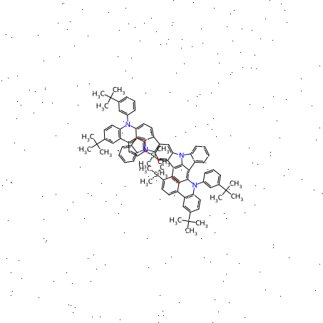 CC(C)(C)c1cccc(N(c2ccc(C(C)(C)C)cc2-c2ccc([Si](C)(C)C)cc2)c2ccc3c4cc5c(cc4n4c6ccccc6c2c34)c2ccc(N(c3cccc(C(C)(C)C)c3)c3ccc(C(C)(C)C)cc3-c3ccc([Si](C)(C)C)cc3)c3c4ccccc4n5c23)c1